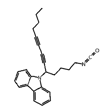 CCCCC#CC#CC(CCCCN=C=O)n1c2ccccc2c2ccccc21